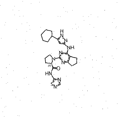 O=C(Nc1ncns1)[C@H]1CCCN1c1nc2c(c(Nc3cc(C4CCCCC4)[nH]n3)n1)CCC2